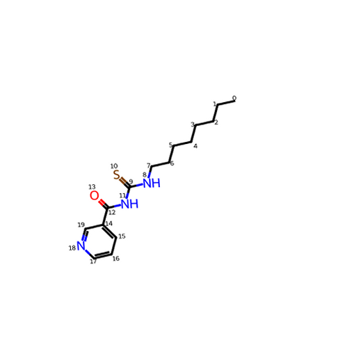 CCCCCCCCNC(=S)NC(=O)c1cccnc1